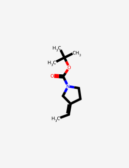 CC=C1CCN(C(=O)OC(C)(C)C)C1